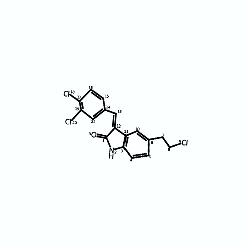 O=C1Nc2ccc(CCCl)cc2C1=Cc1ccc(Cl)c(Cl)c1